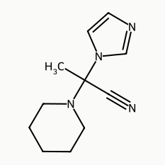 CC(C#N)(N1CCCCC1)n1ccnc1